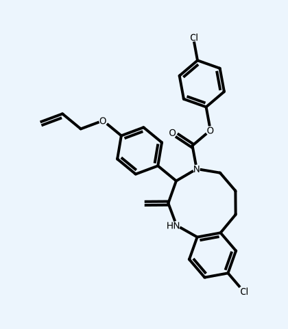 C=CCOc1ccc(C2C(=C)Nc3ccc(Cl)cc3CCCN2C(=O)Oc2ccc(Cl)cc2)cc1